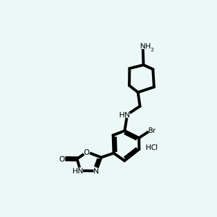 Cl.NC1CCC(CNc2cc(-c3n[nH]c(=O)o3)ccc2Br)CC1